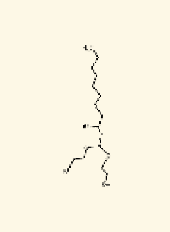 CCCCCCCCC(O)CN(OCCO)OCCO